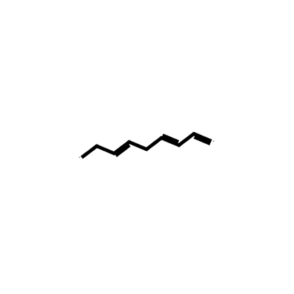 [CH]=C/C=C/C/C=C/C[CH2]